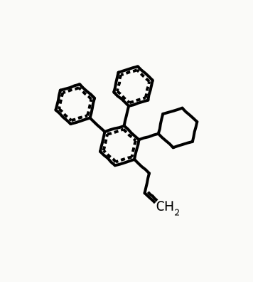 C=CCc1ccc(-c2ccccc2)c(-c2ccccc2)c1C1CCCCC1